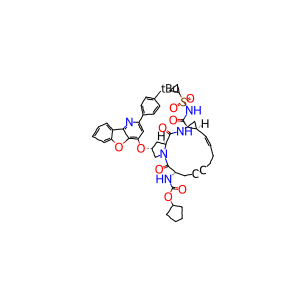 CC(C)(C)c1ccc(-c2cc(O[C@@H]3C[C@H]4C(=O)N[C@]5(C(=O)NS(=O)(=O)C6CC6)C[C@H]5/C=C\CCCCC[C@H](NC(=O)OC5CCCC5)C(=O)N4C3)c3oc4ccccc4c3n2)cc1